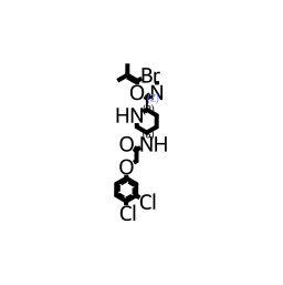 C/N=C(\OC(Br)=C(C)C)[C@H]1CC[C@H](NC(=O)COc2ccc(Cl)c(Cl)c2)CN1